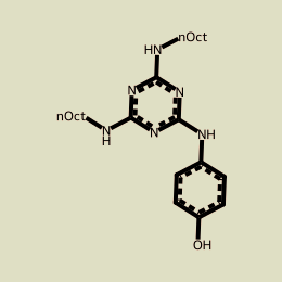 CCCCCCCCNc1nc(NCCCCCCCC)nc(Nc2ccc(O)cc2)n1